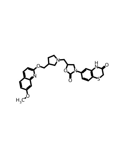 COc1ccc2ccc(OCC3CCN(CC4CN(c5ccc6c(c5)NC(=O)CS6)C(=O)O4)C3)nc2c1